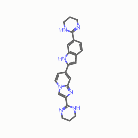 c1cc2cc(-c3ccn4cc(C5=NCCCN5)nc4c3)[nH]c2cc1C1=NCCCN1